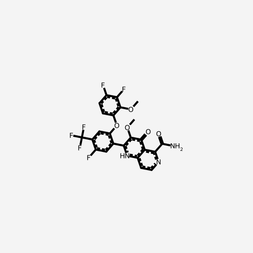 COc1c(Oc2cc(C(F)(F)F)c(F)cc2-c2[nH]c3ccnc(C(N)=O)c3c(=O)c2OC)ccc(F)c1F